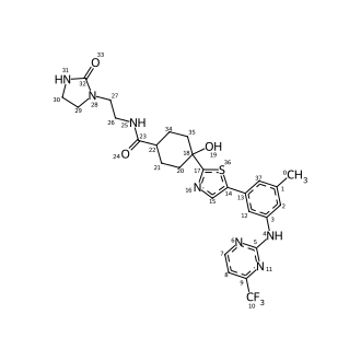 Cc1cc(Nc2nccc(C(F)(F)F)n2)cc(-c2cnc(C3(O)CCC(C(=O)NCCN4CCNC4=O)CC3)s2)c1